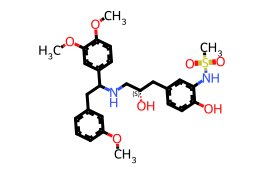 COc1cccc(CC(NC[C@@H](O)Cc2ccc(O)c(NS(C)(=O)=O)c2)c2ccc(OC)c(OC)c2)c1